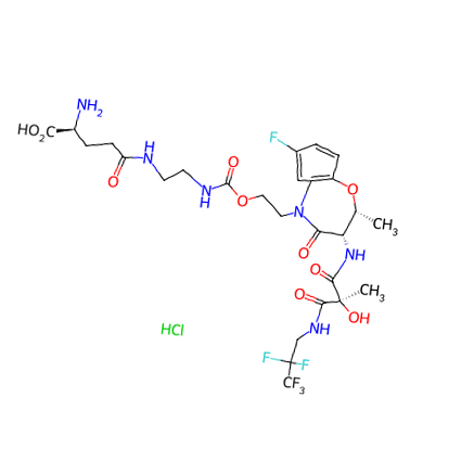 C[C@H]1Oc2ccc(F)cc2N(CCOC(=O)NCCNC(=O)CC[C@H](N)C(=O)O)C(=O)[C@H]1NC(=O)[C@@](C)(O)C(=O)NCC(F)(F)C(F)(F)F.Cl